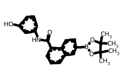 CC1(C)OB(c2ccc3c(C(=O)Nc4cccc(O)c4)cccc3c2)OC1(C)C